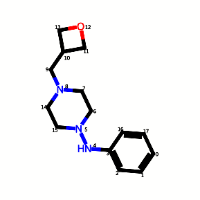 c1ccc(NN2CCN(CC3COC3)CC2)cc1